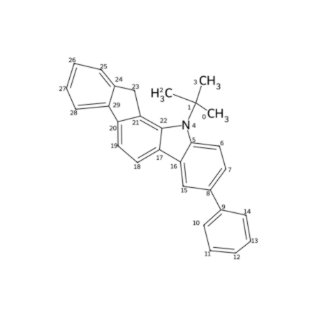 CC(C)(C)n1c2ccc(-c3ccccc3)cc2c2ccc3c(c21)Cc1ccccc1-3